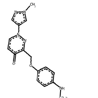 CCOC(=O)Nc1ccc(OCc2nn(-c3cnn(C)c3)ccc2=O)cc1